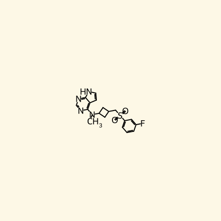 CN(c1ncnc2[nH]ccc12)C1CC(CS(=O)(=O)c2cccc(F)c2)C1